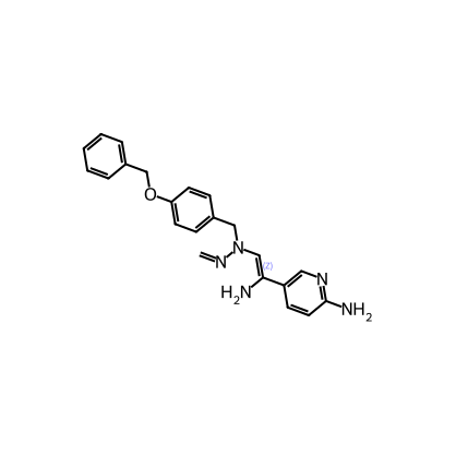 C=NN(/C=C(\N)c1ccc(N)nc1)Cc1ccc(OCc2ccccc2)cc1